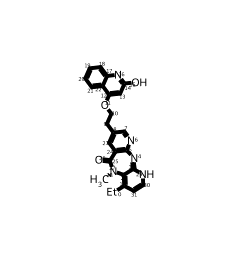 CCC1=C2C(=Nc3ncc(CCOc4cc(O)nc5ccccc45)cc3C(=O)N2C)NC=C1